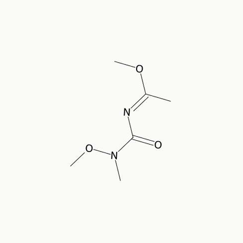 COC(C)=NC(=O)N(C)OC